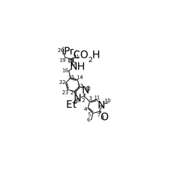 CCn1c(-c2cc(C)c(=O)n(C)c2)nc2cc(CN[C@@H](CC(C)C)C(=O)O)ccc21